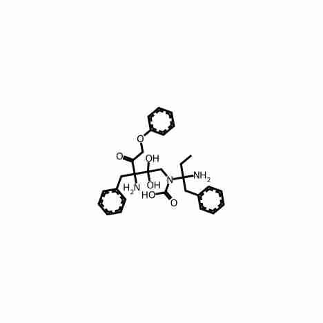 CCC(N)(Cc1ccccc1)N(CC(O)(O)C(N)(Cc1ccccc1)C(=O)COc1ccccc1)C(=O)O